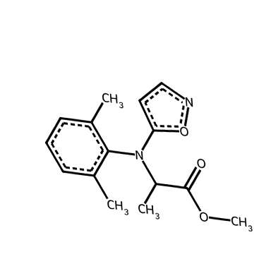 COC(=O)C(C)N(c1ccno1)c1c(C)cccc1C